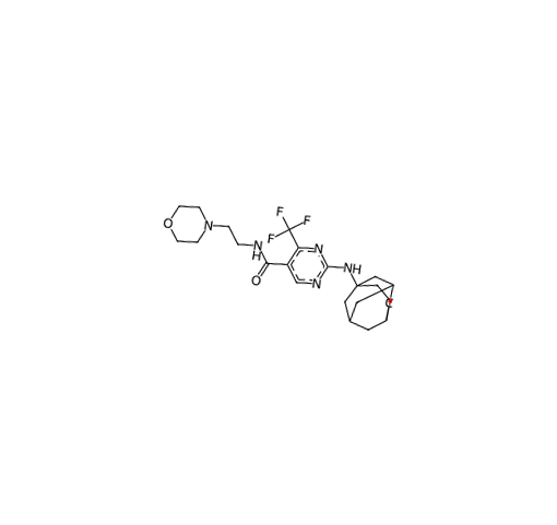 O=C(NCCN1CCOCC1)c1cnc(NC23CCC4CC(CC(C4)C2)C3)nc1C(F)(F)F